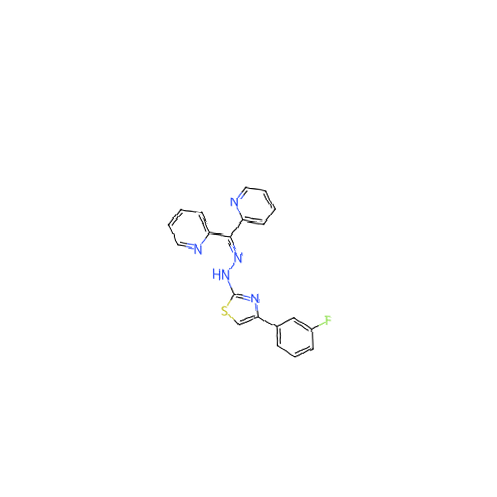 Fc1cccc(-c2csc(NN=C(c3ccccn3)c3ccccn3)n2)c1